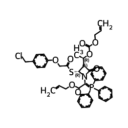 C=CCOC(=O)O[C@H](C)[C@H]1C(=O)N(C(C(=O)OCC=C)=P(c2ccccc2)(c2ccccc2)c2ccccc2)[C@@H]1SC(=O)COc1ccc(CCl)cc1